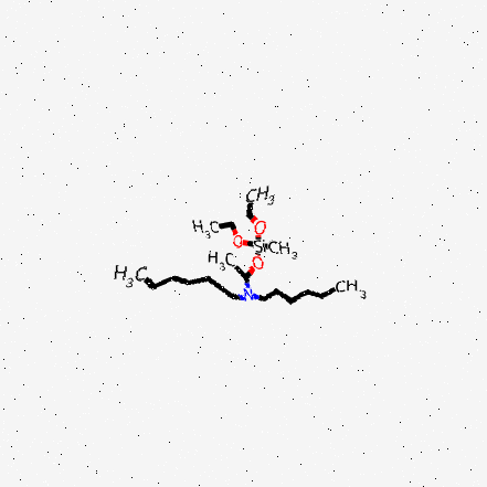 CCCCCCN(CCCCCC)C(C)O[Si](C)(OCC)OCC